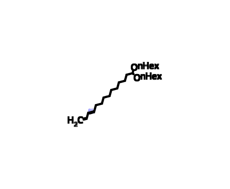 C=C/C=C/CCCCCCCCCC(OCCCCCC)OCCCCCC